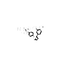 COc1ccc(-c2cccn2-c2ccc(S(N)(=O)=O)cc2)cc1Cl